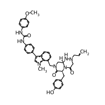 C=CCN1CC(=O)N2[C@H](CN(Cc3cccc4c(-c5ccc(NC(=O)Nc6ccc(OC)cc6)cc5)cn(C)c34)C(=O)[C@@H]2Cc2ccc(O)cc2)N1